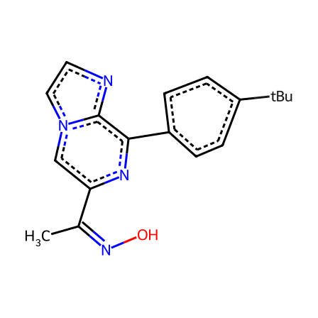 C/C(=N/O)c1cn2ccnc2c(-c2ccc(C(C)(C)C)cc2)n1